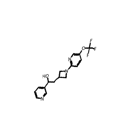 OC(CC1CN(c2ccc(OC(F)(F)F)cn2)C1)c1cccnc1